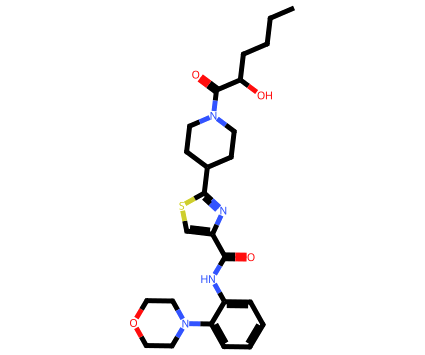 CCCCC(O)C(=O)N1CCC(c2nc(C(=O)Nc3ccccc3N3CCOCC3)cs2)CC1